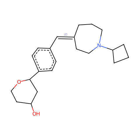 OC1CCOC(c2ccc(/C=C3/CCCN(C4CCC4)CC3)cc2)C1